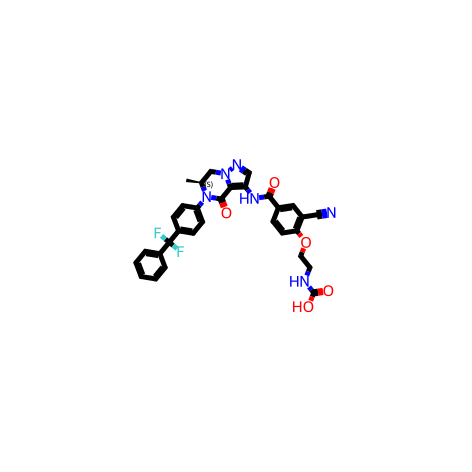 C[C@H]1Cn2ncc(NC(=O)c3ccc(OCCNC(=O)O)c(C#N)c3)c2C(=O)N1c1ccc(C(F)(F)c2ccccc2)cc1